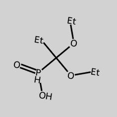 CCOC(CC)(OCC)[PH](=O)O